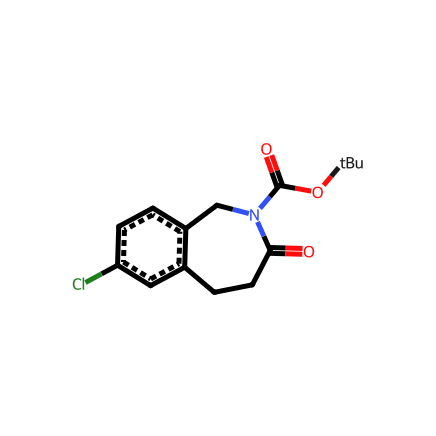 CC(C)(C)OC(=O)N1Cc2ccc(Cl)cc2CCC1=O